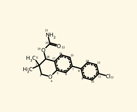 CC1(C)COc2cc(-c3ccc(Cl)cc3)ccc2C1OC(N)=O